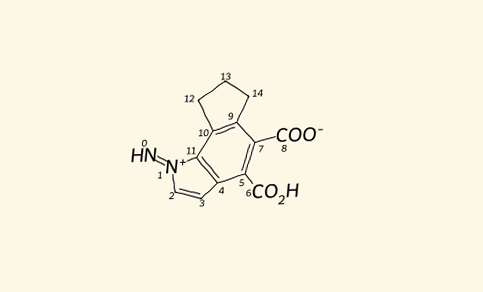 N=[N+]1C=Cc2c(C(=O)O)c(C(=O)[O-])c3c(c21)CCC3